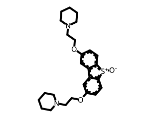 [O-][s+]1c2ccc(OCCN3CCCCC3)cc2c2cc(OCCN3CCCCC3)ccc21